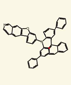 c1ccc(-c2cccc(N(c3ccc4c(c3)oc3cc5cnccc5cc34)c3ccc(-c4ccccc4)cc3-c3cccc4ccccc34)c2)cc1